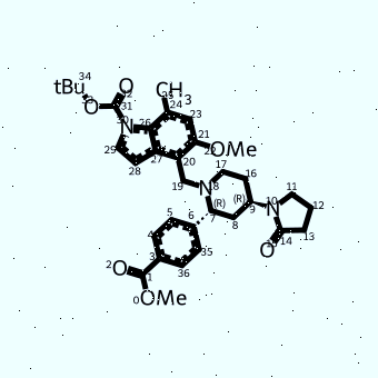 COC(=O)c1ccc([C@H]2C[C@H](N3CCCC3=O)CCN2Cc2c(OC)cc(C)c3c2ccn3C(=O)OC(C)(C)C)cc1